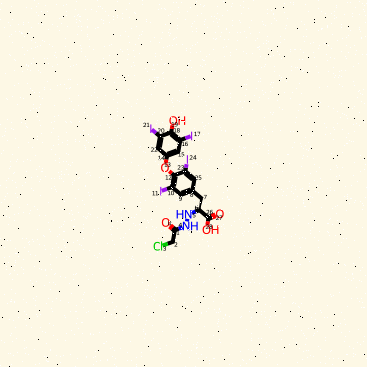 O=C(CCl)NN[C@@H](Cc1cc(I)c(Oc2cc(I)c(O)c(I)c2)c(I)c1)C(=O)O